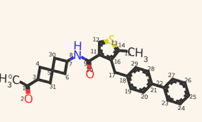 CC(=O)C1CC2(CC(NC(=O)c3csc(C)c3Cc3ccc(-c4ccccc4)cc3)C2)C1